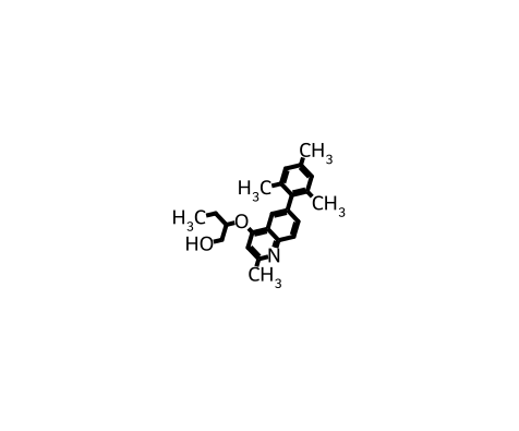 CCC(CO)Oc1cc(C)nc2ccc(-c3c(C)cc(C)cc3C)cc12